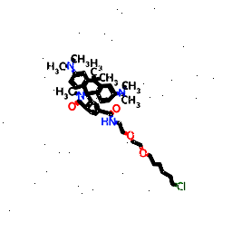 CN(C)c1ccc2c(c1)C(C)(C)c1cc(N(C)C)ccc1C21c2cc(C(=O)NCCOCCOCCCCCCCl)ccc2C(=O)N1C